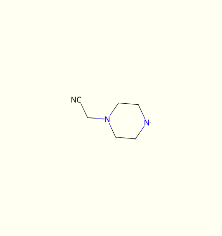 N#CCN1CC[N]CC1